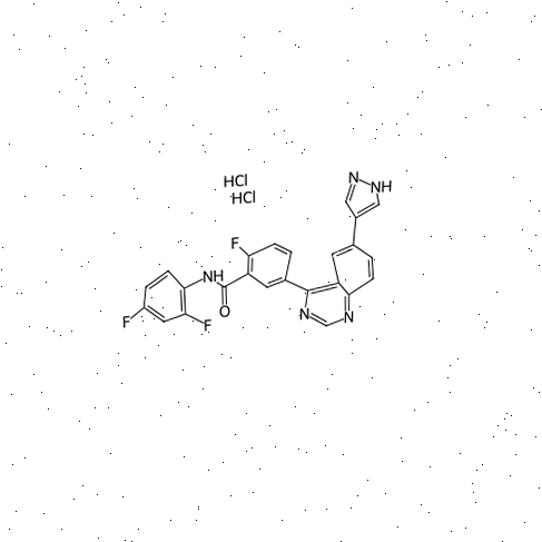 Cl.Cl.O=C(Nc1ccc(F)cc1F)c1cc(-c2ncnc3ccc(-c4cn[nH]c4)cc23)ccc1F